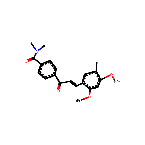 CCCOc1cc(OCCC)c(C=CC(=O)c2ccc(C(=O)N(C)C)cc2)cc1C